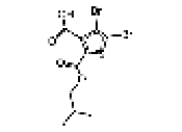 CC(C)COC(=O)c1sc(Br)c(Br)c1C(=O)O